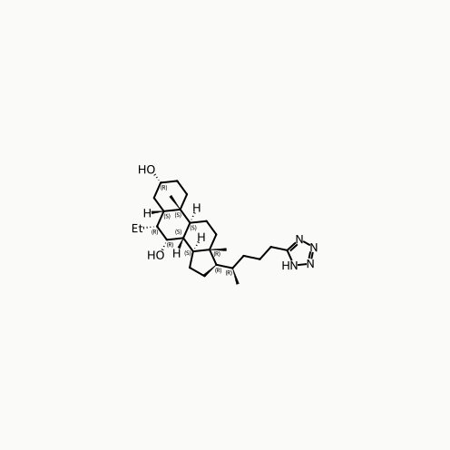 CC[C@H]1[C@@H](O)[C@@H]2[C@H](CC[C@]3(C)[C@@H]([C@H](C)CCCc4nnn[nH]4)CC[C@@H]23)[C@@]2(C)CC[C@@H](O)C[C@@H]12